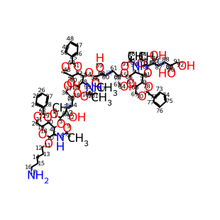 COC(OC1C(NC(C)=O)C(OCCCCCN)OC2COC(c3ccccc3)OC21)[C@@H](O)/C=C/[C@@H](CO)OC1OC2COC(c3ccccc3)OC2C(OC(OC)[C@@H](O)/C=C/[C@@H](CO)OC2OC3COC(c4ccccc4)OC3C(OC(OC)[C@@H](O)/C=C/[C@H](O)CO)C2NC(C)=O)C1NC(C)=O